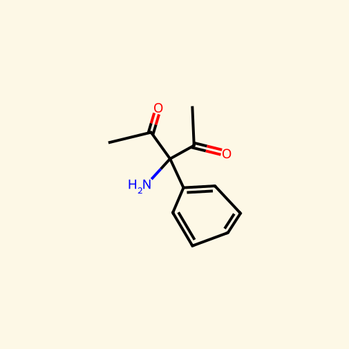 CC(=O)C(N)(C(C)=O)c1ccccc1